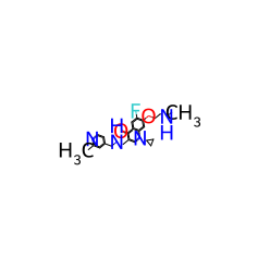 CNCCOc1cc2c(cc1F)c(=O)c(CNCc1ccnc(C)c1)cn2C1CC1